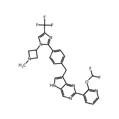 CN1CC(n2cc(C(F)(F)F)nc2-c2ccc(Cc3c[nH]c4cnc(-c5cccnc5OC(F)F)nc34)cc2)C1